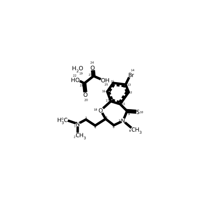 CN(C)CCC1CN(C)C(=S)c2cc(Br)ccc2O1.O.O=C(O)C(=O)O